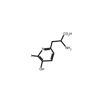 NC(Cc1ccc(O)c(I)n1)C(=O)O